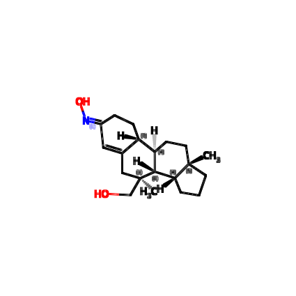 C[C@]1(CO)CC2=C/C(=N/O)CC[C@@H]2[C@H]2CC[C@]3(C)CCC[C@@H]3[C@@H]21